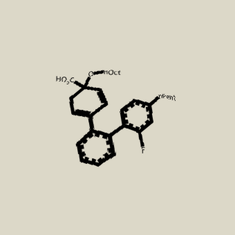 CCCCCCCCOC1(C(=O)O)C=CC(c2ccccc2-c2ccc(CCCCC)cc2F)=CC1